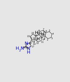 C[C@]12CCCCC1=CC[C@@H]1[C@@H]2CC[C@]2(C)C(c3c[nH]c(N)n3)=CC[C@@H]12